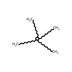 CCCCCCCCCCC1=C(CCCCCCCCCC)C(CCCCCCCCCC)=C(CCCCCCCCCC)C1